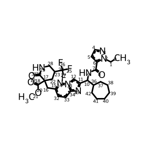 CCn1nccc1C(=O)NC(c1cn2nc(CC3(C(=O)OC)CC(C(F)(F)F)CNC3=O)ccc2n1)C1CCCCCC1